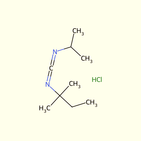 CCC(C)(C)N=C=NC(C)C.Cl